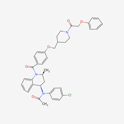 CC(=O)N(c1ccc(Cl)cc1)[C@@H]1C[C@H](C)N(C(=O)c2ccc(OCC3CCN(C(=O)COc4ccccc4)CC3)cc2)c2ccccc21